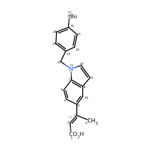 C/C(=C\C(=O)O)c1ccc2c(ccn2Cc2ccc(C(C)(C)C)cc2)c1